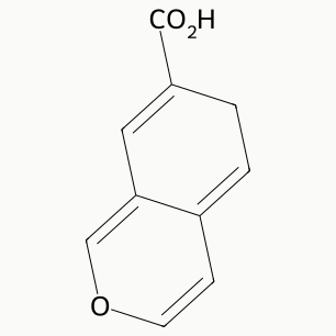 O=C(O)C1=CC2=COC=CC2=CC1